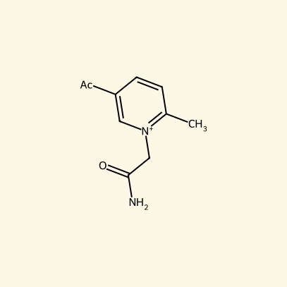 CC(=O)c1ccc(C)[n+](CC(N)=O)c1